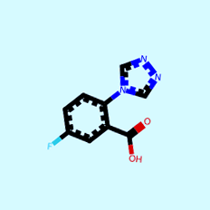 O=C(O)c1cc(F)ccc1-n1cnnc1